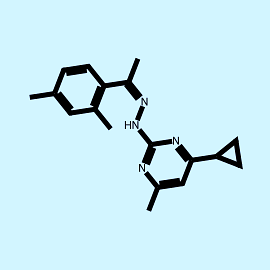 C/C(=N/Nc1nc(C)cc(C2CC2)n1)c1ccc(C)cc1C